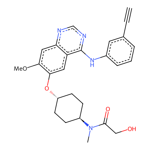 C#Cc1cccc(Nc2ncnc3cc(OC)c(O[C@H]4CC[C@H](N(C)C(=O)CO)CC4)cc23)c1